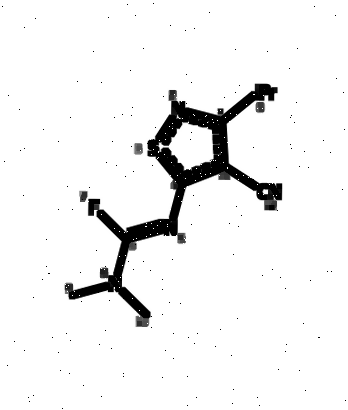 CC(C)c1nsc(N=C(F)N(C)C)c1C#N